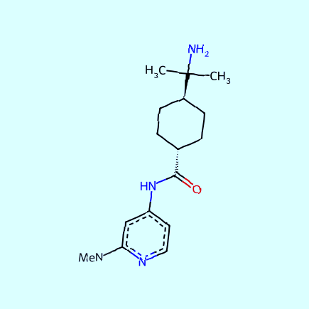 CNc1cc(NC(=O)[C@H]2CC[C@H](C(C)(C)N)CC2)ccn1